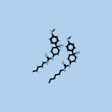 CCCCCCOC(=O)OC1CCC(O)(c2ccc(OC)cc2)CC1.CCCCCOC(=O)OC1CCC(O)(c2ccc(OC)cc2)CC1